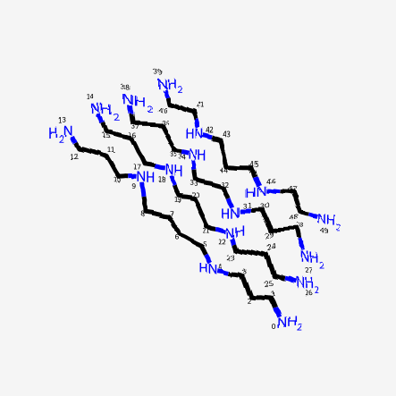 NCCCNCCCCNCCCN.NCCCNCCCNCCCN.NCCCNCCNCCCN.NCCNCCCNCCN